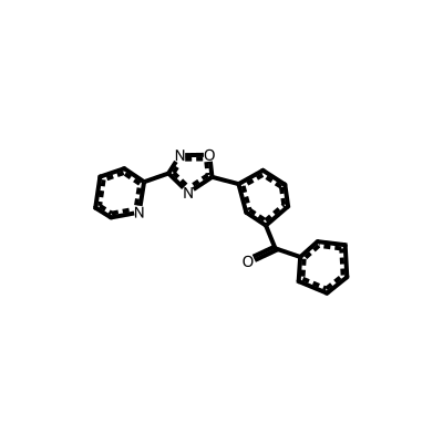 O=C(c1ccccc1)c1cccc(-c2nc(-c3ccccn3)no2)c1